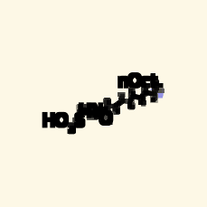 CCCCCCCC/C=C\CCCCCCCC(=O)NCCS(=O)(=O)O